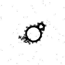 CC1(C)CCCCCCc2nccnc2CCCCC1